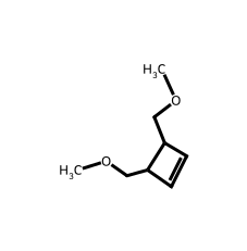 COCC1C=CC1COC